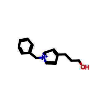 OCCCc1cc[n+](Cc2ccccc2)cc1